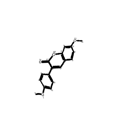 COc1ccc(-c2cc3ccc(OC)cc3oc2=O)cc1